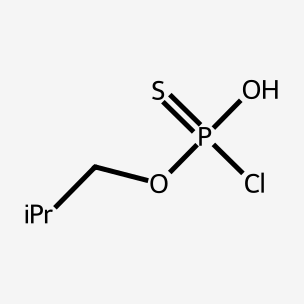 CC(C)COP(O)(=S)Cl